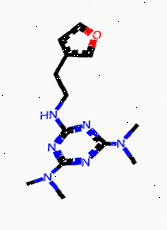 CN(C)c1nc(NCCc2ccoc2)nc(N(C)C)n1